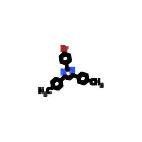 Cc1ccc(-c2cc(-c3ccc(C)cc3)nc(-c3ccc(Br)cc3)n2)cc1